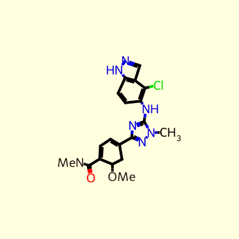 CNC(=O)C1=CC=C(c2nc(Nc3ccc4[nH]ncc4c3Cl)n(C)n2)CC1OC